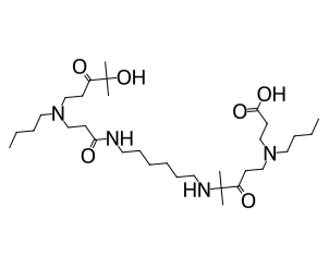 CCCCN(CCC(=O)NCCCCCCNC(C)(C)C(=O)CCN(CCCC)CCC(=O)O)CCC(=O)C(C)(C)O